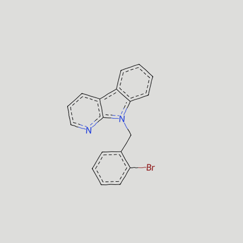 Brc1ccccc1Cn1c2ccccc2c2cccnc21